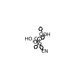 N#Cc1ccc(OC(C(=O)N2Cc3ccc(O)c(OCc4ccccc4)c3CC2C(=O)O)c2ccccc2)cc1